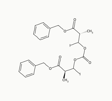 C[C@@H](C(=O)OCc1ccccc1)C(I)OC(=O)OC(I)[C@@H](C)C(=O)OCc1ccccc1